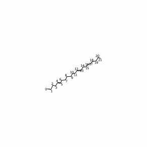 [CH2]CCC/C=C/CCCCCC/C=C/CCCCCCCC